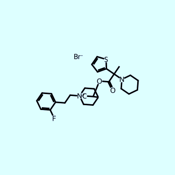 CC(C(=O)OC1C[N+]2(CCc3ccccc3F)CCC1CC2)(c1cccs1)N1CCCCC1.[Br-]